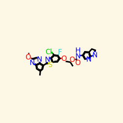 COc1cnc2c(-c3nc4c(Cl)c(F)c(OCC(C)OC(=O)Nc5cnc6c(c5)CC=N6)cc4s3)cc(C)cc2n1